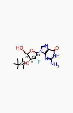 CC(C)(C)[Si](C)(C)O[C@H]1[C@@H](F)[C@H](n2cnc3c(=O)[nH]c(N)nc32)O[C@@H]1CO